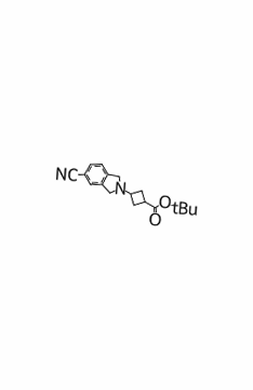 CC(C)(C)OC(=O)C1CC(N2Cc3ccc(C#N)cc3C2)C1